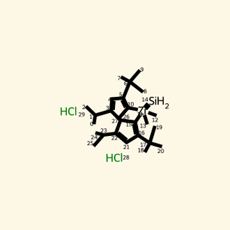 CC(C)C1=CC(C(C)(C)C)=[C]([Zr]([CH3])([CH3])(=[SiH2])[C]2=C(C(C)(C)C)C=C(C(C)C)C2)C1.Cl.Cl